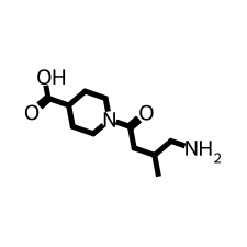 CC(CN)CC(=O)N1CCC(C(=O)O)CC1